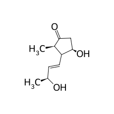 C[C@H](O)/C=C/C1[C@H](O)CC(=O)[C@@H]1C